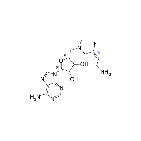 CN(C/C(F)=C\CN)C[C@H]1O[C@@H](n2cnc3c(N)ncnc32)C(O)C1O